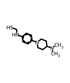 CN(C)C1CCN(c2ccc(NCS)cc2)CC1